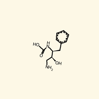 NC[C@H](O)[C@H](Cc1ccccc1)NC(=O)O